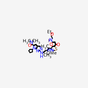 CCOCCN(I)c1cc(=O)c2c(o1)C(/C(C)=C(/C=C(\C)Nc1ncc3cc(C(=O)N(C)C)n(C4CCCC4)c3n1)OC)NCS2